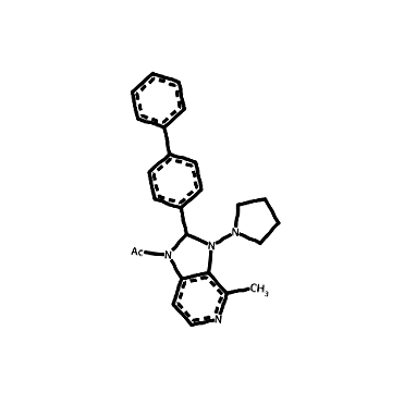 CC(=O)N1c2ccnc(C)c2N(N2CCCC2)C1c1ccc(-c2ccccc2)cc1